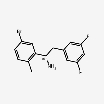 Cc1ccc(Br)cc1[C@@H](N)Cc1cc(F)cc(F)c1